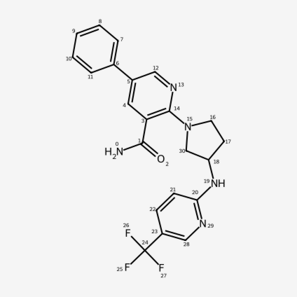 NC(=O)c1cc(-c2ccccc2)cnc1N1CCC(Nc2ccc(C(F)(F)F)cn2)C1